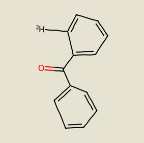 [2H]c1ccccc1C(=O)c1ccccc1